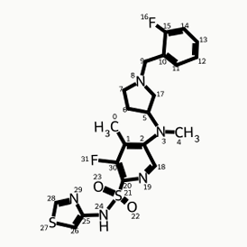 Cc1c(N(C)C2CCN(Cc3ccccc3F)C2)cnc(S(=O)(=O)Nc2cscn2)c1F